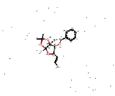 CCC=C[C@H]1O[C@@H]2OC(C)(C)O[C@@H]2[C@H]1OCc1ccccc1